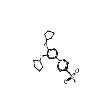 CS(=O)(=O)c1ccc(-c2ccc(OC3CCCC3)c(OC3CCCC3)c2)cc1